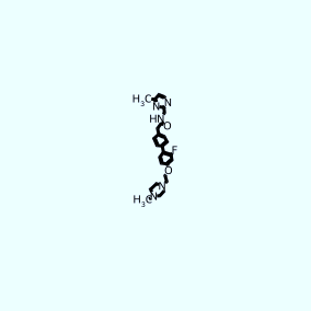 Cc1ccnc(CNC(=O)Cc2ccc(-c3ccc(OCCN4CCN(C)CC4)cc3F)cc2)n1